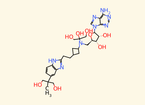 CC(CO)(CO)c1ccc2[nH]c(CCC3CC(N(C[C@H]4O[C@@H](n5cnc6c(N)ncnc65)[C@H](O)[C@@H]4O)C(O)(CO)CO)C3)nc2c1